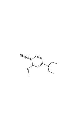 CCN(CC)C1=CC(OC)C(=[N+]=[N-])C=C1